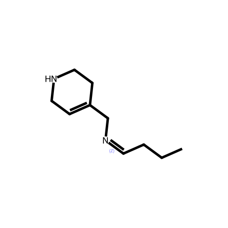 CCC/C=N\CC1=CCNCC1